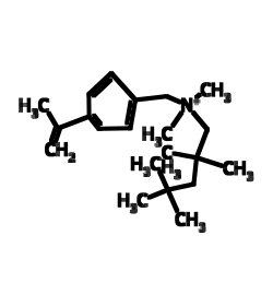 C=C(C)c1ccc(C[N+](C)(C)CC(C)(C)CC(C)(C)C)cc1